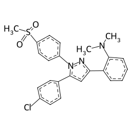 CN(C)c1ccccc1-c1cc(-c2ccc(Cl)cc2)n(-c2ccc(S(C)(=O)=O)cc2)n1